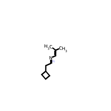 CC(C)=C/N=C/CC1CCC1